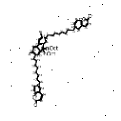 CCCCCCCCC1(CCCCCCCC)c2cc(CCCCCCCCc3ccc4oc(=O)ccc4c3)c(C)cc2-c2cc(C)c(CCCCCCCCc3ccc4oc(=O)ccc4c3)cc21